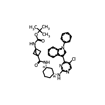 CC(C)(C)OC(=O)NC12CC(C(=O)N[C@H]3CCC[C@@H](Nc4ncc(Cl)c(-c5cn(-c6ccccc6)c6ccccc56)n4)C3)(C1)C2